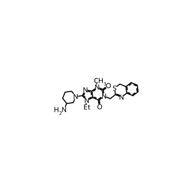 CCn1c(N2CCCC(N)C2)nc2c1c(=O)n(CC1=Nc3ccccc3CS1)c(=O)n2C